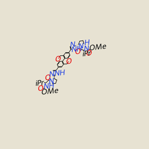 COC(=O)NC(C(=O)N1CCC[C@@H]1c1ncc(-c2cc3c4c(c2)OCc2cc(-c5cnc([C@@H]6CCCN6C(=O)[C@@H](NC(=O)OC)C(C)C)[nH]5)cc(c2-4)OC3)[nH]1)C(C)C